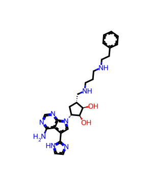 Nc1ncnc2c1c(-c1ncc[nH]1)cn2[C@@H]1C[C@H](CNCCCNCCc2ccccc2)[C@@H](O)[C@H]1O